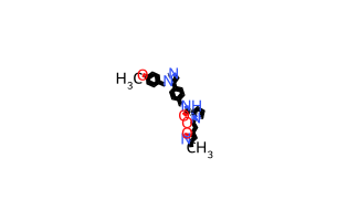 COc1ccc(Cn2cncc2-c2ccc(CNC(=O)[C@@H]3CCCN3C(=O)Cc3cc(C)no3)cc2)cc1